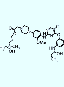 C=CC(O)Nc1cccc(Oc2nc(Nc3ccc(N4CCN(CC(=O)OCCC[Si](C)(C)O)CC4)cc3OC)ncc2Cl)c1